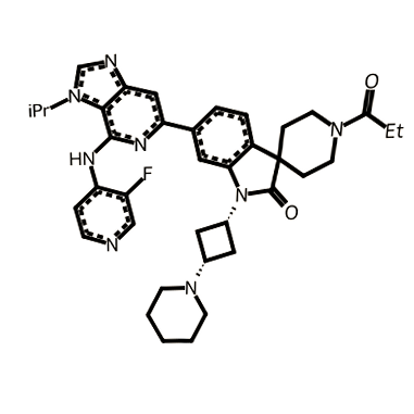 CCC(=O)N1CCC2(CC1)C(=O)N([C@H]1C[C@@H](N3CCCCC3)C1)c1cc(-c3cc4ncn(C(C)C)c4c(Nc4ccncc4F)n3)ccc12